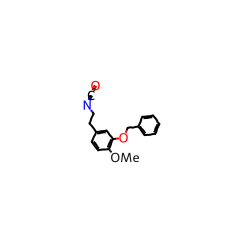 COc1ccc(CCN=C=O)cc1OCc1ccccc1